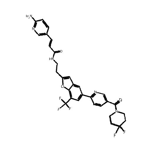 Nc1ccc(C=CC(=O)NCCc2cc3cc(-c4ccc(C(=O)N5CCC(F)(F)CC5)cn4)cc(C(F)(F)F)c3o2)cn1